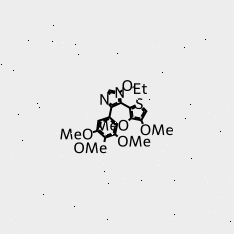 CCOn1cnc(-c2cc(OC)c(OC)c(OC)c2)c1-c1scc(OC)c1OC